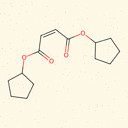 O=C(/C=C\C(=O)OC1CCCC1)OC1CCCC1